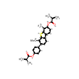 C=C(C)C(=O)Oc1ccc(-c2ccc3c(sc4c(C(F)(F)F)c(OC(=O)C(=C)C)ccc43)c2OC)cc1